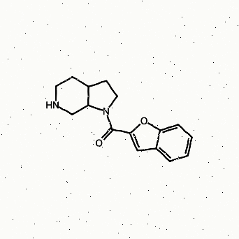 O=C(c1cc2ccccc2o1)N1CCC2CCNCC21